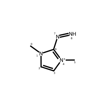 Cn1cc[n+](C)c1N=N